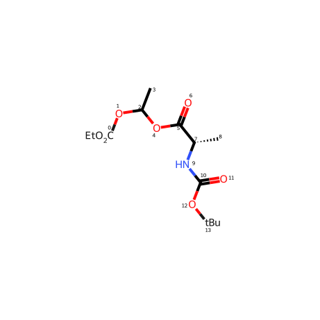 CCOC(=O)OC(C)OC(=O)[C@H](C)NC(=O)OC(C)(C)C